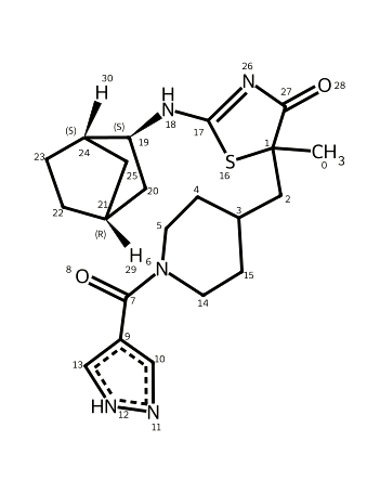 CC1(CC2CCN(C(=O)c3cn[nH]c3)CC2)SC(N[C@H]2C[C@@H]3CC[C@H]2C3)=NC1=O